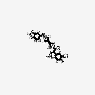 CN(C)CC(C(=O)N1CC(=C2CN(Sc3ccc4ncsc4c3)C2)C1)c1ccc(F)c(Cl)c1